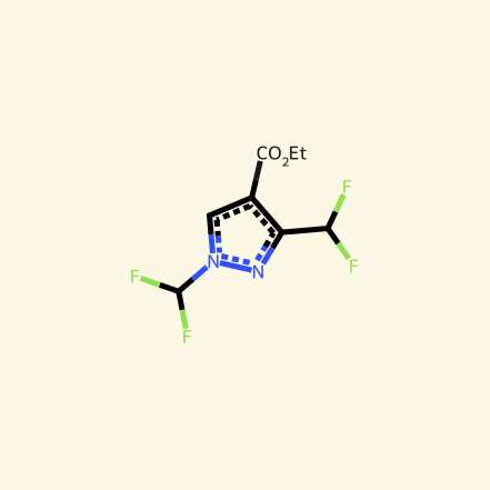 CCOC(=O)c1cn(C(F)F)nc1C(F)F